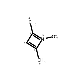 CC1=CC(C)=[N+]1[O-]